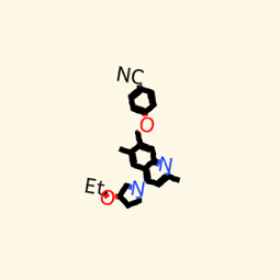 CCOC1CCN(c2cc(C)nc3cc(COc4ccc(C#N)cc4)c(C)cc23)C1